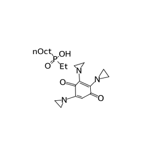 CCCCCCCCP(=O)(O)CC.O=C1C=C(N2CC2)C(=O)C(N2CC2)=C1N1CC1